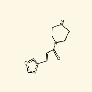 O=C(C=Cc1ccoc1)N1CCNCC1